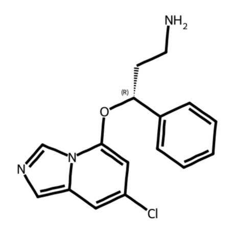 NCC[C@@H](Oc1cc(Cl)cc2cncn12)c1ccccc1